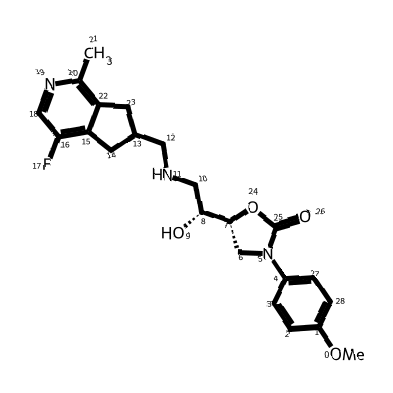 COc1ccc(N2C[C@H]([C@H](O)CNCC3Cc4c(F)cnc(C)c4C3)OC2=O)cc1